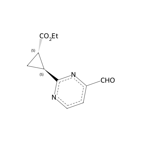 CCOC(=O)[C@H]1C[C@@H]1c1nccc(C=O)n1